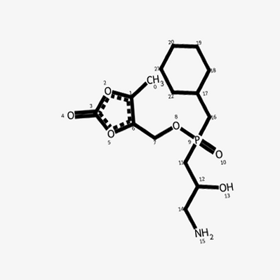 Cc1oc(=O)oc1COP(=O)(CC(O)CN)CC1CCCCC1